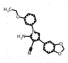 CCOc1cccc(-n2cc(-c3ccc4c(c3)OCO4)c(C#N)c2N)c1